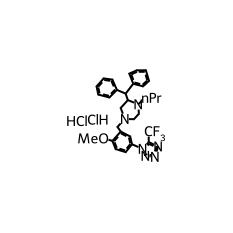 CCCN1CCN(Cc2cc(-n3nnnc3C(F)(F)F)ccc2OC)CC1C(c1ccccc1)c1ccccc1.Cl.Cl